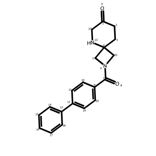 O=C1CCC2(CN(C(=O)c3ccc(-c4ccccc4)cc3)C2)NC1